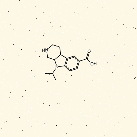 CC(C)N1c2ccc(C(=O)O)cc2C2CCNCC21